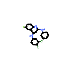 Fc1ccc2nc(Nc3ccccc3)cc(Nc3ccc(Cl)c(Cl)c3)c2c1